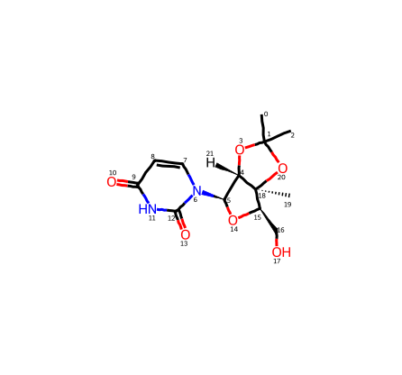 CC1(C)O[C@H]2[C@H](n3ccc(=O)[nH]c3=O)O[C@H](CO)[C@]2(C)O1